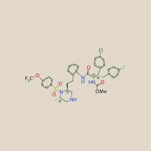 COC(=O)N[C@H](C(=O)Nc1ccccc1CC[C@H]1CNC[C@H](C)N1S(=O)(=O)c1ccc(OC(F)(F)F)cc1)[C@@H](Cc1ccc(F)cc1)c1ccc(Cl)cc1